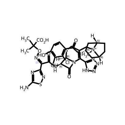 CC(C)(O/N=C(\C(=O)N[C@@H]1C(=O)N2C(c3nnn[nH]3)=C(C[N+]3(C)[C@@H]4CC[C@H]3C[C@@H](NC(=O)c3ccc(O)c(O)c3Cl)C4)CS[C@H]12)c1nsc(N)n1)C(=O)O